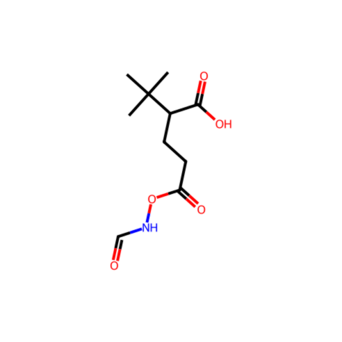 CC(C)(C)C(CCC(=O)ONC=O)C(=O)O